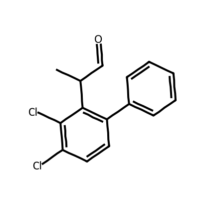 CC(C=O)c1c(-c2ccccc2)ccc(Cl)c1Cl